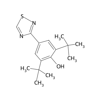 CC(C)(C)c1cc(-c2ncsn2)cc(C(C)(C)C)c1O